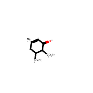 CCCCCC1CC=CC(=O)C1C(=O)OCC.[Na]